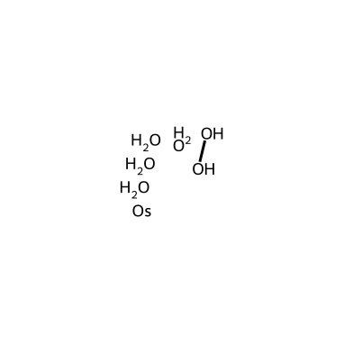 O.O.O.O.OO.[Os]